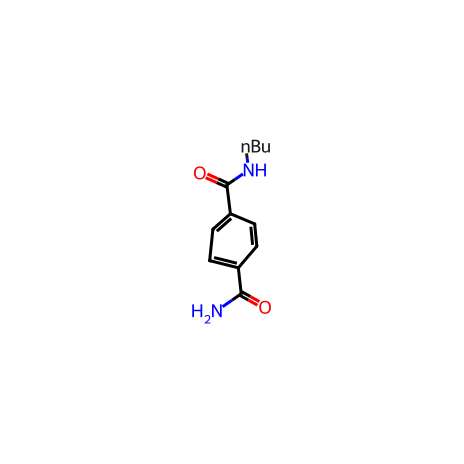 CCCCNC(=O)c1ccc(C(N)=O)cc1